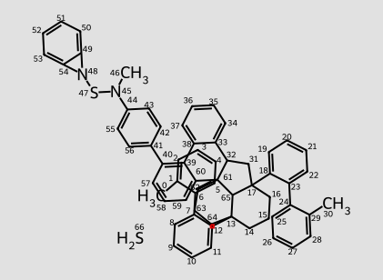 Cc1ccccc1-c1ccccc1C12CCCC3(c4ccccc4-c4ccccc4C)CC4c5ccccc5-c5c(-c6ccc(N(C)SN7c8ccccc87)cc6)cccc5C4(CCC1)C23.S